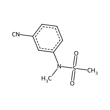 [C-]#[N+]c1cccc(N(C)S(C)(=O)=O)c1